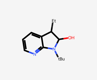 CCC1c2cccnc2N(C(C)(C)C)C1O